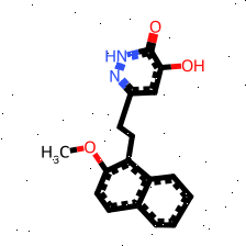 COc1ccc2ccccc2c1CCc1cc(O)c(=O)[nH]n1